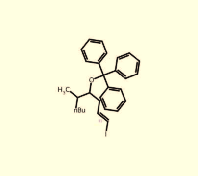 CCCCC(C)C(C/C=C/I)OC(c1ccccc1)(c1ccccc1)c1ccccc1